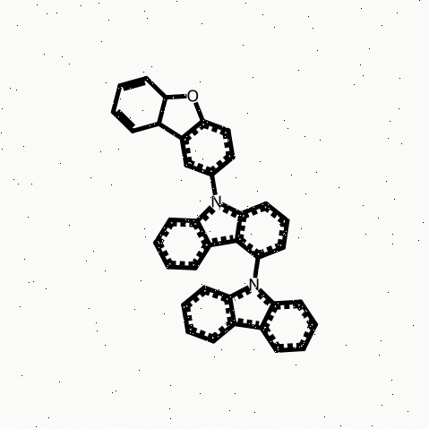 C1=CC2Oc3ccc(-n4c5ccccc5c5c(-n6c7ccccc7c7ccccc76)cccc54)cc3C2C=C1